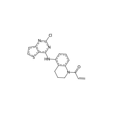 C=CC(=O)N1CCCc2c(Nc3nc(Cl)nc4ccsc34)cccc21